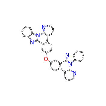 c1ccc2c(c1)nc1c3cc(Oc4ccc5c6cccnc6n6c7ccccc7nc6c5c4)ccc3c3cccnc3n21